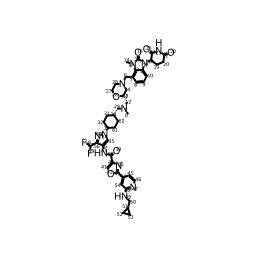 CN(C[C@H]1CN(Cc2cccc3c2n(C)c(=O)n3C2CCC(=O)NC2=O)CCO1)C[C@H]1CC[C@H](n2cc(NC(=O)c3coc(-c4ccnc(NCC5CC5)c4)n3)c(C(F)F)n2)CC1